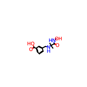 CC(C)(NCc1cccc(C(=O)O)c1)C(=O)NO